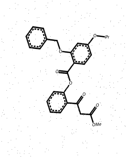 COC(=O)CC(=O)c1ccccc1OC(=O)c1ccc(OC(C)C)cc1OCc1ccccc1